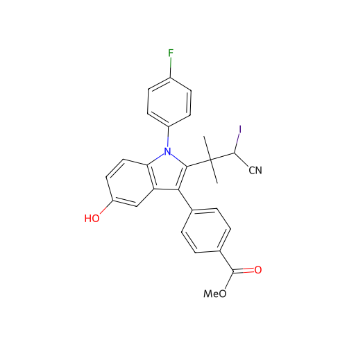 COC(=O)c1ccc(-c2c(C(C)(C)C(I)C#N)n(-c3ccc(F)cc3)c3ccc(O)cc23)cc1